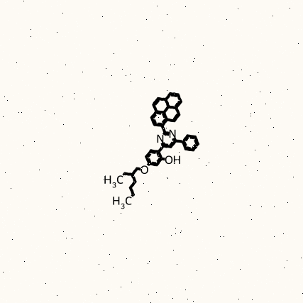 CCCCC(CC)COc1ccc(-c2cc(-c3ccccc3)nc(-c3ccc4c5c3C=CC3=CC=CC(C=C4)C35)n2)c(O)c1